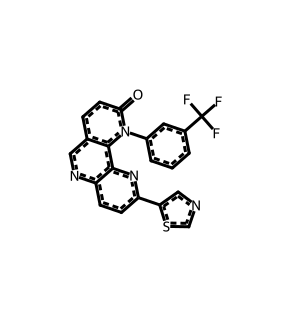 O=c1ccc2cnc3ccc(-c4cncs4)nc3c2n1-c1cccc(C(F)(F)F)c1